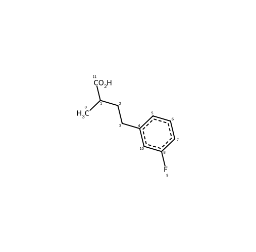 CC(CCc1cccc(F)c1)C(=O)O